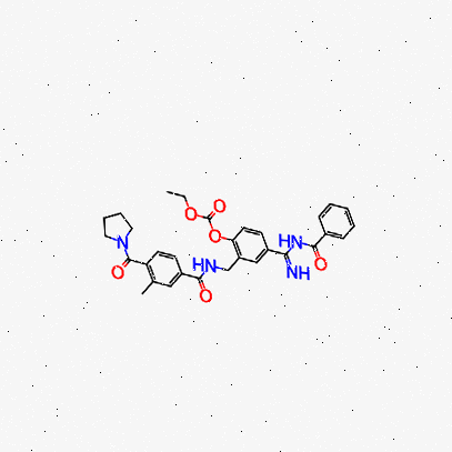 CCOC(=O)Oc1ccc(C(=N)NC(=O)c2ccccc2)cc1CNC(=O)c1ccc(C(=O)N2CCCC2)c(C)c1